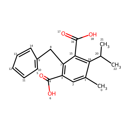 Cc1cc(C(=O)O)c(Cc2ccccc2)c(C(=O)O)c1C(C)C